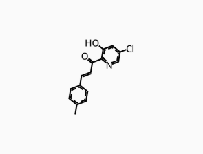 Cc1ccc(C=CC(=O)c2ncc(Cl)cc2O)cc1